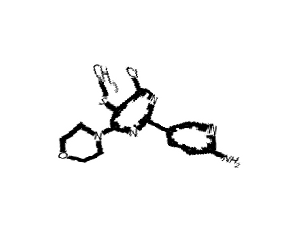 CSc1c(Cl)nc(-c2ccc(N)nc2)nc1N1CCOCC1